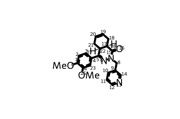 COc1ccc(C2=NN(Cc3cccnc3)C(=O)[C@@H]3CC=CC[C@H]23)cc1OC